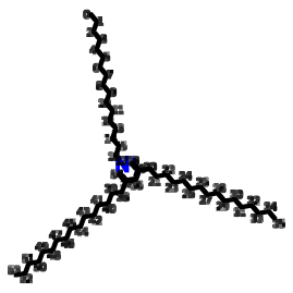 CCCCCCCCCCCCCCCCC[n+]1cc(CCCCCCCCCCCCCCCC)cc(CCCCCCCCCCCCCCCC)c1